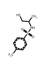 CC(CS)NS(=O)(=O)c1ccc(C(F)(F)F)cc1